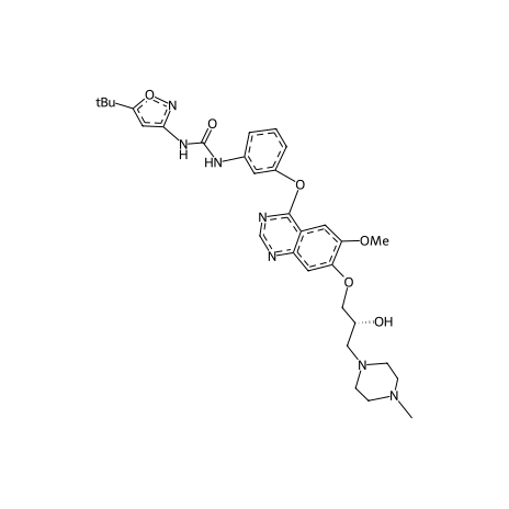 COc1cc2c(Oc3cccc(NC(=O)Nc4cc(C(C)(C)C)on4)c3)ncnc2cc1OC[C@H](O)CN1CCN(C)CC1